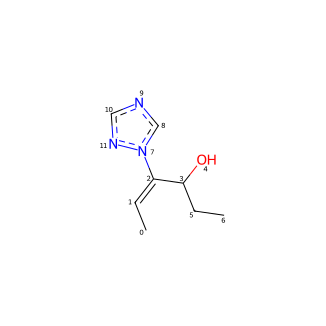 CC=C(C(O)CC)n1cncn1